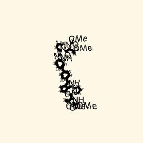 COC(=O)NC(C(=O)N1CCC[C@H]1c1nc2ccc(-c3ccc(-c4[nH]c([C@@H]5CCCN5C(=O)[C@@H](NC(=O)OC)C(C)OC)c5c4CCC5)cc3)cc2[nH]1)[C@@H](C)OC